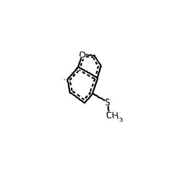 CSc1cc[c]c2occc12